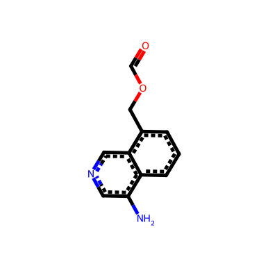 Nc1cncc2c(COC=O)cccc12